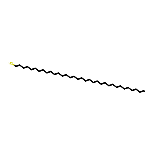 SCCCCCCCCCCCCCCCCCCCCCCCCCCCCCCCCCCCCl